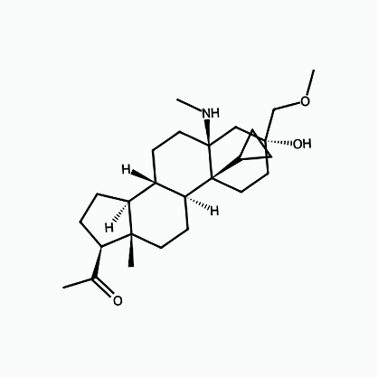 CN[C@]12CC[C@H]3[C@@H]4CC[C@H](C(C)=O)[C@@]4(C)CC[C@@H]3[C@@]1(C1CC1)CC[C@](O)(COC)C2